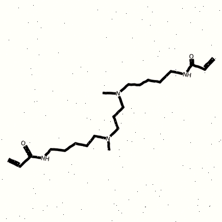 C=CC(=O)NCCCCCN(C)CCCN(C)CCCCCNC(=O)C=C